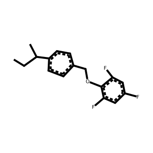 CCC(C)c1ccc(COc2c(F)cc(F)cc2F)cc1